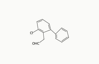 O=CCc1c(Cl)cccc1-c1ccccc1